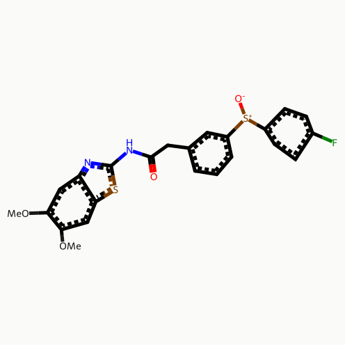 COc1cc2nc(NC(=O)Cc3cccc([S+]([O-])c4ccc(F)cc4)c3)sc2cc1OC